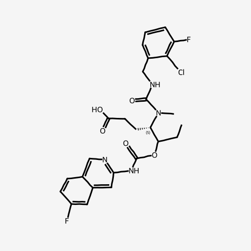 CCC(OC(=O)Nc1cc2cc(F)ccc2cn1)[C@H](CCC(=O)O)N(C)C(=O)NCc1cccc(F)c1Cl